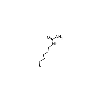 [CH2]CCCCCNC(N)=O